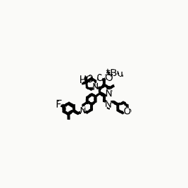 Cc1cc(F)ccc1CN1CCc2cc(-c3c(CN(C)CC4CCOCC4)nc(C)c(C(OC(C)(C)C)C(=O)O)c3N3CCC(C)(C)CC3)ccc2C1